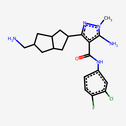 Cn1nc(C2CC3CC(CN)CC3C2)c(C(=O)Nc2ccc(F)c(Cl)c2)c1N